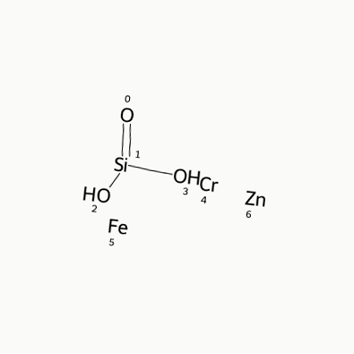 O=[Si](O)O.[Cr].[Fe].[Zn]